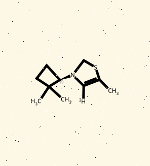 [2H]C1=C(C)SCN1[C@@H]1CCC1(C)C